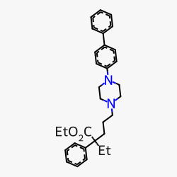 CCOC(=O)C(CC)(CCCN1CCN(c2ccc(-c3ccccc3)cc2)CC1)c1ccccc1